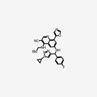 CC(C)(C)CNc1c(C#N)cnc2c(-c3cnco3)cc(NC(c3ccc(F)cc3)c3cn(C4CC4)nn3)cc12